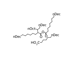 CCCCCCCCCCCCCCCC(=O)O.CCCCCCCCCCCCCCCCCC(=O)OC(=O)C(CCCCCCCCCCCCCCCC)C(CCCCCCCC)CCCCCCCCCCC